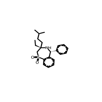 CC[C@]1(CCC(C)C)CS(=O)(=O)c2ccccc2[C@@H](c2ccccc2)N1